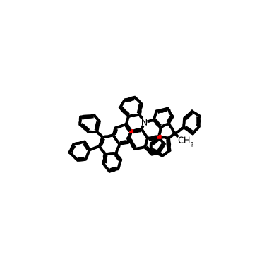 CC1(c2ccccc2)c2ccccc2-c2c(N(c3ccccc3-c3ccc4c(c3)c(-c3ccccc3)c(-c3ccccc3)c3ccccc34)c3cccc4ccccc34)cccc21